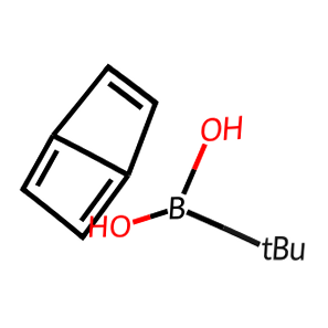 CC(C)(C)B(O)O.c1cc2ccc1-2